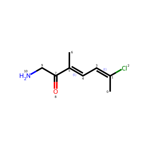 C/C(Cl)=C\C=C(/C)C(=O)CN